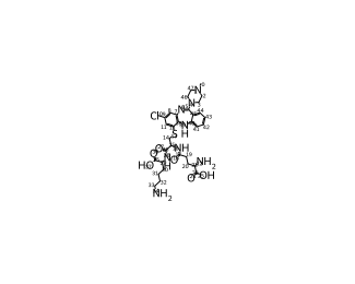 CN1CCN(C2=Nc3cc(Cl)cc(SCC(NC(=O)CCC(N)C(=O)O)C(=O)NC(CCCCN)C(=O)O)c3Nc3ccccc32)CC1